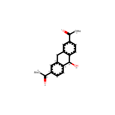 COC(=O)c1ccc2c(c1)Cc1cc(C(=O)OC)ccc1C2O